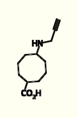 C#CCNC1CCCC(C(=O)O)CCC1